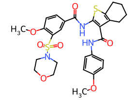 COc1ccc(NC(=O)c2c(NC(=O)c3ccc(OC)c(S(=O)(=O)N4CCOCC4)c3)sc3c2CCCC3)cc1